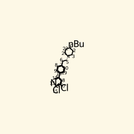 CCCC[C@H]1CC[C@H](CCc2ccc(-c3cnc(Cl)c(Cl)c3)cc2)CC1